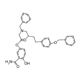 NC(=O)c1cc(OCCN(Cc2ccccc2)CC(O)CCc2ccc(OCc3ccccc3)cc2)ccc1O